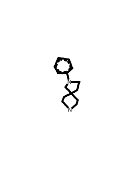 c1ccc(N2CCC3(CC[N]CC3)C2)cc1